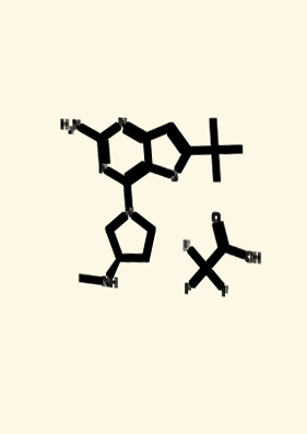 CN[C@@H]1CCN(c2nc(N)nc3cc(C(C)(C)C)sc23)C1.O=C(O)C(F)(F)F